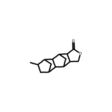 CC1CC2CC1C1C3CC(C4COC(=O)C43)C21